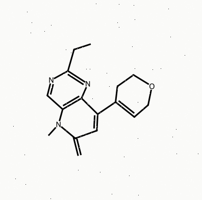 C=C1C=C(C2=CCOCC2)c2nc(CC)ncc2N1C